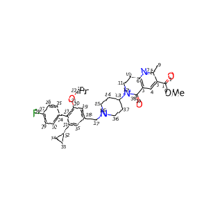 COC(=O)c1cc2c(nc1C)CCN(C1CCN(Cc3cc(OC(C)C)c(-c4ccc(F)cc4)c(C4CC4)c3)CC1)C2=O